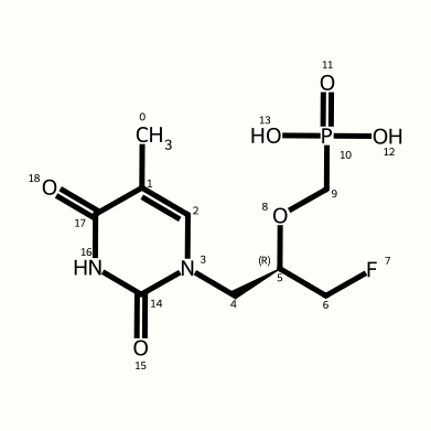 Cc1cn(C[C@H](CF)OCP(=O)(O)O)c(=O)[nH]c1=O